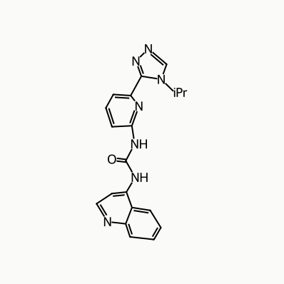 CC(C)n1cnnc1-c1cccc(NC(=O)Nc2ccnc3ccccc23)n1